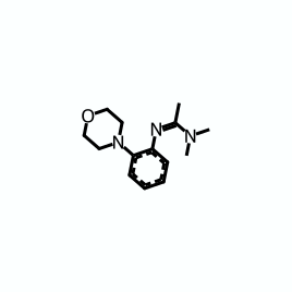 CC(=Nc1ccccc1N1CCOCC1)N(C)C